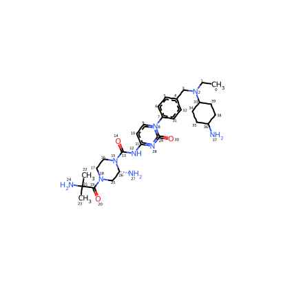 CCN(Cc1ccc(-n2ccc(NC(=O)N3CCN(C(=O)C(C)(C)N)C[C@H]3N)nc2=O)cc1)C1CCC(N)CC1